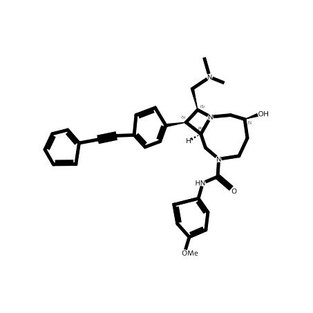 COc1ccc(NC(=O)N2CC[C@H](O)CN3[C@H](CN(C)C)[C@H](c4ccc(C#Cc5ccccc5)cc4)[C@@H]3C2)cc1